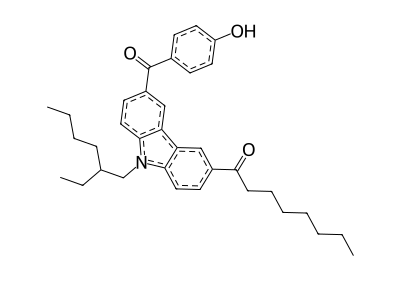 CCCCCCCC(=O)c1ccc2c(c1)c1cc(C(=O)c3ccc(O)cc3)ccc1n2CC(CC)CCCC